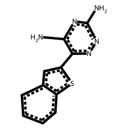 Nc1nnc(-c2cc3ccccc3s2)c(N)n1